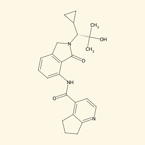 CC(C)(O)[C@@H](C1CC1)N1Cc2cccc(NC(=O)c3ccnc4c3CCC4)c2C1=O